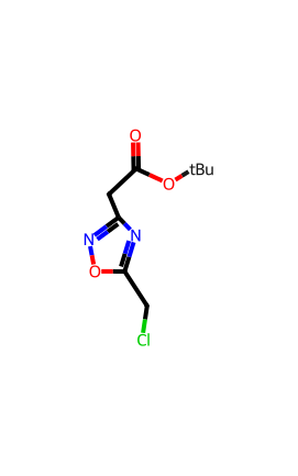 CC(C)(C)OC(=O)Cc1noc(CCl)n1